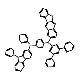 C1=CC(N(c2ccc(N(c3cc(-c4ccccc4)cc(-c4ccccc4)c3)c3ccc4cc5sc6ccccc6c5cc4c3)cc2)c2ccc3c4ccccc4n(-c4ccccc4)c3c2)=CCC1